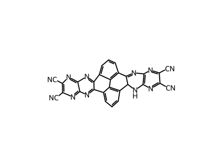 N#Cc1nc2c(nc1C#N)NC1C(=N2)c2cccc3c4nc5nc(C#N)c(C#N)nc5nc4c4cccc1c4c23